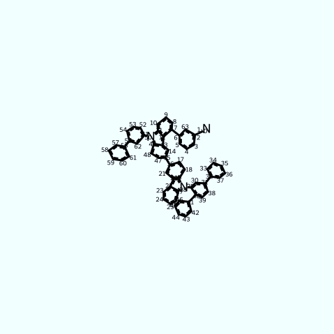 N#Cc1cccc(-c2cccc3c2c2cc(-c4ccc5c(c4)c4ccccc4n5-c4cc(-c5ccccc5)ccc4-c4ccccc4)ccc2n3-c2cccc(-c3ccccc3)c2)c1